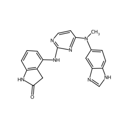 CN(c1ccc2[nH]cnc2c1)c1ccnc(Nc2cccc3c2CC(=O)N3)n1